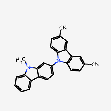 Cn1c2ccccc2c2ccc(-n3c4ccc(C#N)cc4c4cc(C#N)ccc43)cc21